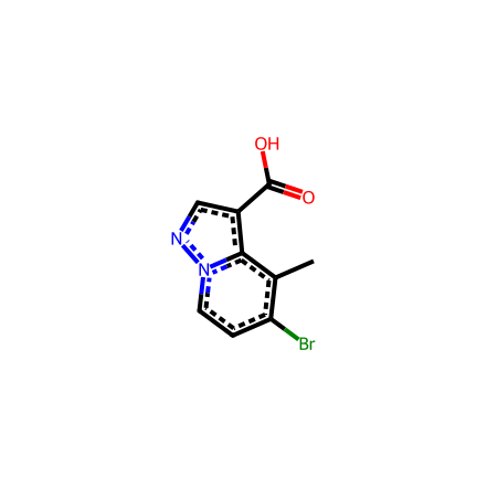 Cc1c(Br)ccn2ncc(C(=O)O)c12